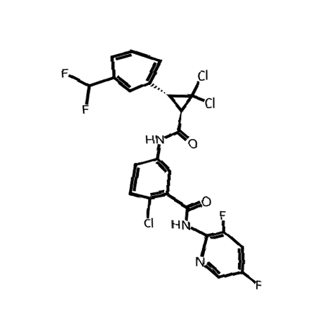 O=C(Nc1ncc(F)cc1F)c1cc(NC(=O)[C@H]2[C@H](c3cccc(C(F)F)c3)C2(Cl)Cl)ccc1Cl